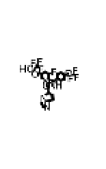 O=C(N[C@@H](c1ccc(OC(F)(F)F)cc1)c1ncccc1F)c1ccc2nccn2c1.O=C(O)C(F)(F)F